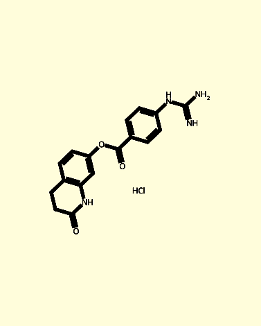 Cl.N=C(N)Nc1ccc(C(=O)Oc2ccc3c(c2)NC(=O)CC3)cc1